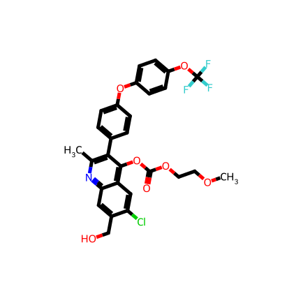 COCCOC(=O)Oc1c(-c2ccc(Oc3ccc(OC(F)(F)F)cc3)cc2)c(C)nc2cc(CO)c(Cl)cc12